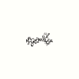 Cc1ncnc(C)c1C(=O)N1C=C2CN(CCN(C(=O)CC(C)C)c3cccc(F)c3)CC2C1